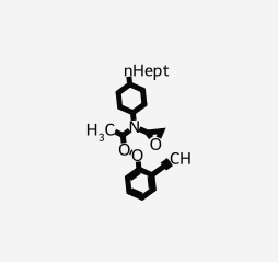 C#Cc1ccccc1OOC(C)N(C1CCC(CCCCCCC)CC1)C1CO1